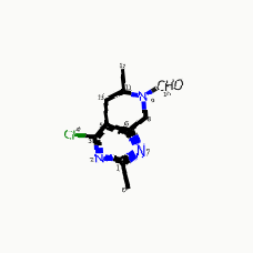 Cc1nc(Cl)c2c(n1)CN(C=O)C(C)C2